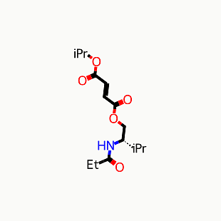 CCC(=O)N[C@H](COC(=O)/C=C/C(=O)OC(C)C)C(C)C